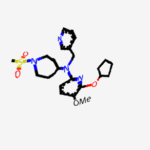 COc1ccc(N(Cc2cccnc2)C2CCN(S(C)(=O)=O)CC2)nc1OC1CCCC1